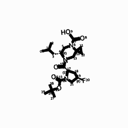 CC(C)C[C@@H]1CN(C(=O)O)C2(CC2)CN1C(=O)[C@@H]1C[C@@H](F)CN1C(=O)OC(C)(C)C